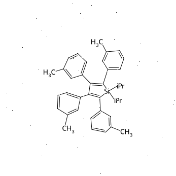 Cc1cccc(C2=C(c3cccc(C)c3)[Si](C(C)C)(C(C)C)C(c3cccc(C)c3)=C2c2cccc(C)c2)c1